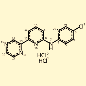 Cl.Cl.Clc1ccc(Nc2cccc(-c3cnccn3)n2)nc1